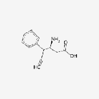 C#CC(c1ccccc1)[C@@H](N)CC(=O)O